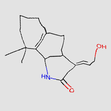 CC1(C)CCCC2=C1C1NC(=O)/C(=C/O)C1C2